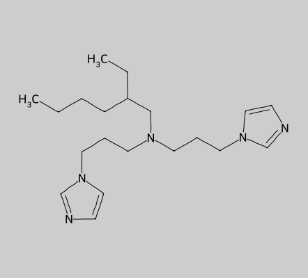 CCCCC(CC)CN(CCCn1ccnc1)CCCn1ccnc1